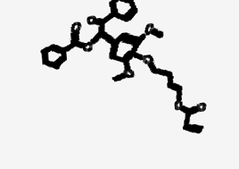 C=CC(=O)OCCCCOc1c(OC)cc(C(OC(=O)c2ccccc2)C(=O)c2ccccc2)cc1OC